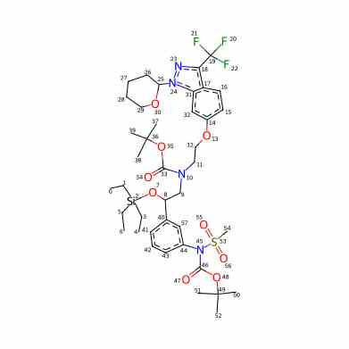 CC[Si](CC)(CC)OC(CN(CCOc1ccc2c(C(F)(F)F)nn(C3CCCCO3)c2c1)C(=O)OC(C)(C)C)c1cccc(N(C(=O)OC(C)(C)C)S(C)(=O)=O)c1